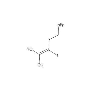 CCCCCC(I)=C(O)O